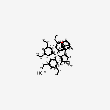 CCc1cc(CC)cc([Si](C2=[C]([Ti])CC=C2c2ccccc2)(c2cc(CC)cc(CC)c2)c2cc(CC)cc(CC)c2)c1.Cl.Cl.Cl